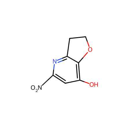 O=[N+]([O-])c1cc(O)c2c(n1)CCO2